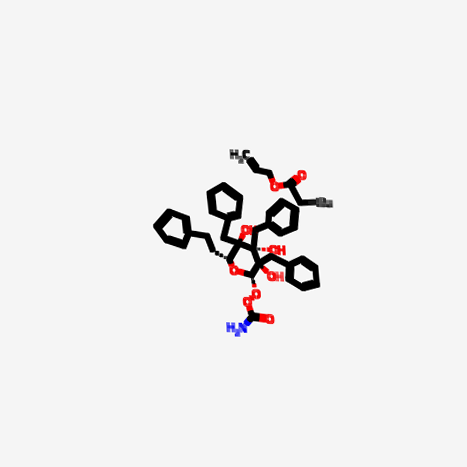 C=CCOC(=O)CC(C)(C)C.NC(=O)OO[C@@H]1O[C@H](CCc2ccccc2)[C@](O)(Cc2ccccc2)[C@@](O)(Cc2ccccc2)[C@]1(O)Cc1ccccc1